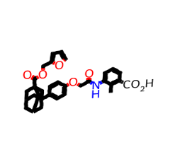 Cc1c(NC(=O)COc2ccc(C34CC5CC(CC(C(=O)OCc6ccco6)(C5)C3)C4)cc2)cccc1C(=O)O